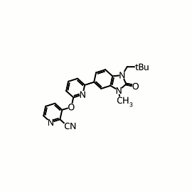 Cn1c(=O)n(CC(C)(C)C)c2ccc(-c3cccc(Oc4cccnc4C#N)n3)cc21